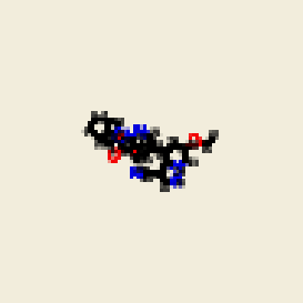 C=C(C)C(=O)NC1C2CCC1CN(c1ccc(-c3cc(OCC)cn4ncc(C#N)c34)cn1)C2